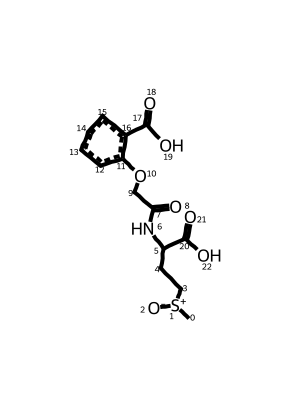 C[S+]([O-])CCC(NC(=O)COc1ccccc1C(=O)O)C(=O)O